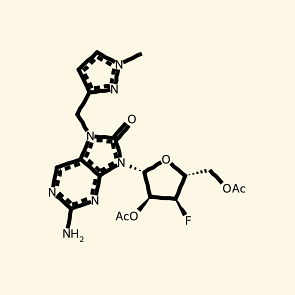 CC(=O)OC[C@H]1O[C@@H](n2c(=O)n(Cc3ccn(C)n3)c3cnc(N)nc32)[C@H](OC(C)=O)[C@@H]1F